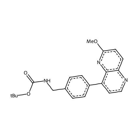 COc1ccc2nccc(-c3ccc(CNC(=O)OC(C)(C)C)cc3)c2n1